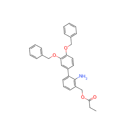 CCC(=O)OCc1cccc(-c2ccc(OCc3ccccc3)c(OCc3ccccc3)c2)c1N